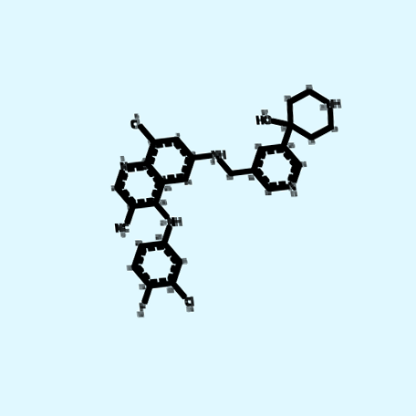 N#Cc1cnc2c(Cl)cc(NCc3cncc(C4(O)CCNCC4)c3)cc2c1Nc1ccc(F)c(Cl)c1